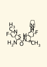 Cc1nc2sc(C(=O)NC[C@H](C)c3cc(F)c(N4CC5CCC(C4)N5)cc3F)c(N)c2cc1F